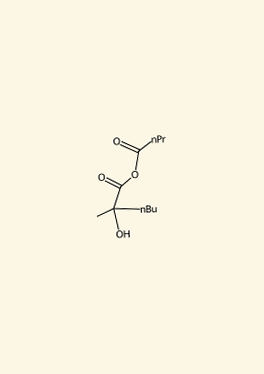 CCCCC(C)(O)C(=O)OC(=O)CCC